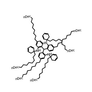 CCCCCCCCCCCCCCCCCCc1ccc(C(c2ccc(CCCCCCCCCCCCCCCCCC)cc2NC2(CCCCCCCCCCCCCCCCCC)C=CC=CC2)c2ccc(CCCCCCCCCCCCCCCCCC)cc2NC2(CCCCCCCCCCCCCCCCCC)C=CC=CC2)c(NC2(CCCCCCCCCCCCCCCCCC)C=CC=CC2)c1